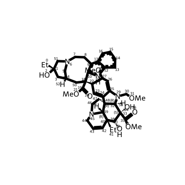 CC[C@]1(O)C[C@@H]2CN(CCc3c([nH]c4ccccc34)[C@@](C(=O)OC)(C3C=C4C(=CC3OC)N(COC)[C@H]3[C@@](O)(C(=O)OC)[C@H](O)[C@]5(CC)C=CCN6CC[C@]43[C@@H]65)C2)C1